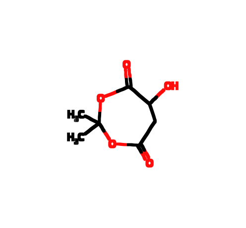 CC1(C)OC(=O)CC(O)C(=O)O1